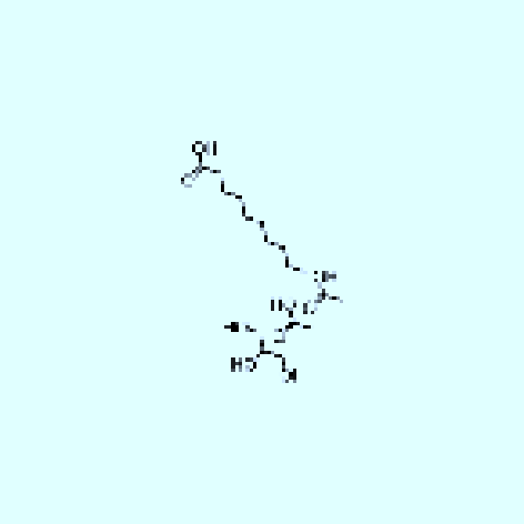 CC(=O)O.CC(=O)O.CCCCCCCCCC(=O)O.OCC(O)CO